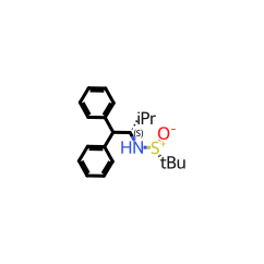 CC(C)[C@H](N[S+]([O-])C(C)(C)C)C(c1ccccc1)c1ccccc1